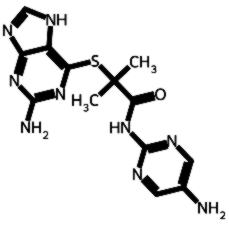 CC(C)(Sc1nc(N)nc2nc[nH]c12)C(=O)Nc1ncc(N)cn1